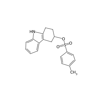 Cc1ccc(S(=O)(=O)OC2CCc3[nH]c4ccccc4c3C2)cc1